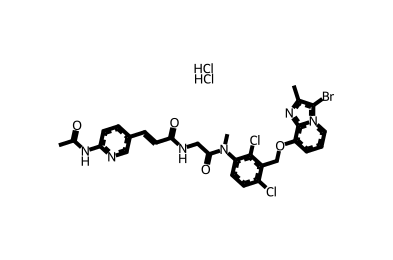 CC(=O)Nc1ccc(C=CC(=O)NCC(=O)N(C)c2ccc(Cl)c(COc3cccn4c(Br)c(C)nc34)c2Cl)cn1.Cl.Cl